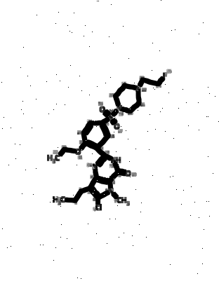 CCCc1c(Cl)n(C)c2c(=O)[nH]c(-c3cc(S(=O)(=O)N4CCN(CCF)CC4)ccc3OCC)nc12